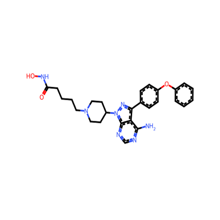 Nc1ncnc2c1c(-c1ccc(Oc3ccccc3)cc1)nn2C1CCN(CCCCC(=O)NO)CC1